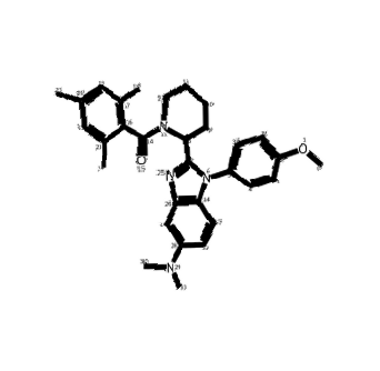 COc1ccc(-n2c(C3CCCCN3C(=O)c3c(C)cc(C)cc3C)nc3cc(N(C)C)ccc32)cc1